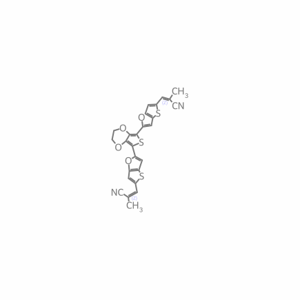 C/C(C#N)=C/c1cc2oc(-c3sc(-c4cc5sc(/C=C(/C)C#N)cc5o4)c4c3OCCO4)cc2s1